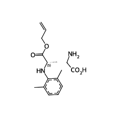 C=CCOC(=O)[C@H](C)Nc1c(C)cccc1C.NCC(=O)O